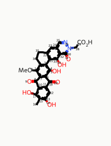 COc1c2c(c(O)c3c1C(=O)c1c(cc(O)c(C)c1O)C3=O)-c1c(cc3cnn(CC(=O)O)c(=O)c3c1O)CC2